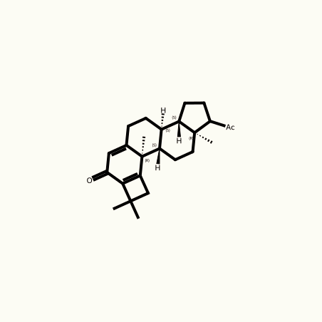 CC(=O)[C]1CC[C@H]2[C@@H]3CCC4=CC(=O)C5=C(CC5(C)C)[C@]4(C)[C@H]3CC[C@]12C